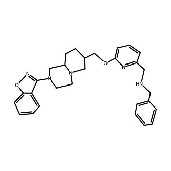 c1ccc(CNCc2cccc(OCC3CCC4CN(c5noc6ccccc56)CCN4C3)n2)cc1